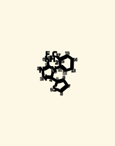 Nc1nnc(-c2cccs2)n1-c1ccccc1C(F)(F)F